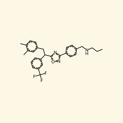 CCCNCc1ccc(-c2noc(C(Cc3ccc(C)c(C)c3)c3cccc(C(F)(F)F)c3)n2)cc1